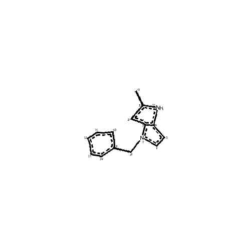 Cc1cc2c(ccn2Cc2ccccc2)[nH]1